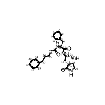 O=C(N[C@@H](Cc1ccccc1)C(=O)N[C@H](CO)C[C@@H]1CCNC1=O)OCCCc1ccccc1